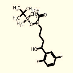 CC(C)(C)[Si](C)(C)ON(CCCC(O)c1cc(F)ccc1F)C(=O)O